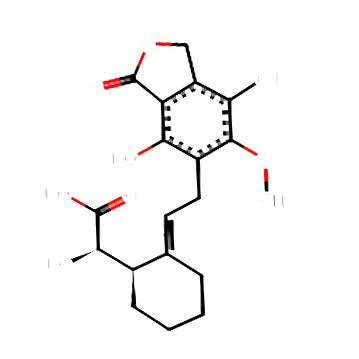 COc1c(C)c2c(c(O)c1C/C=C1\CCCC[C@H]1[C@@H](C)C(=O)O)C(=O)OC2